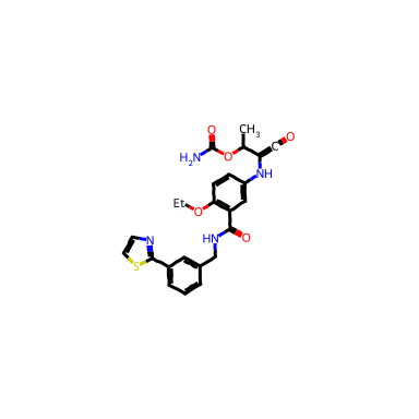 CCOc1ccc(NC(=C=O)C(C)OC(N)=O)cc1C(=O)NCc1cccc(-c2nccs2)c1